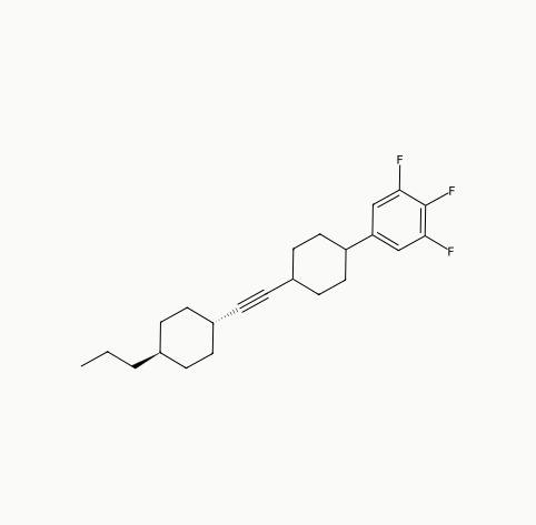 CCC[C@H]1CC[C@H](C#CC2CCC(c3cc(F)c(F)c(F)c3)CC2)CC1